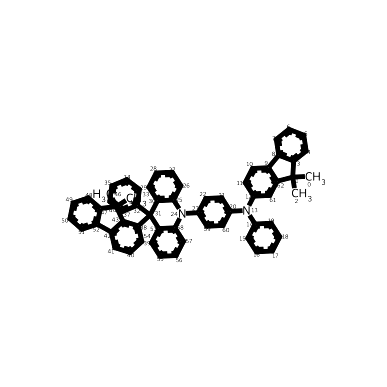 CC1(C)c2ccccc2-c2ccc(N(c3ccccc3)c3ccc(N4c5ccccc5C(c5ccccc5)(c5cccc6c5C(C)(C)c5ccccc5-6)c5ccccc54)cc3)cc21